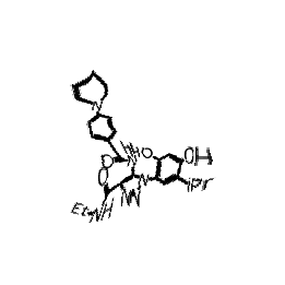 CCNC(=O)c1nnn(-c2cc(C(C)C)c(O)cc2O)c1NC(=O)c1ccc(N2CCCCC2)cc1